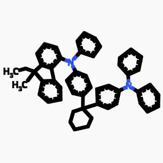 CCC1(C)c2ccccc2-c2c(N(c3ccccc3)c3ccc(C4(c5ccc(N(c6ccccc6)c6ccccc6)cc5)CCCCC4)cc3)cccc21